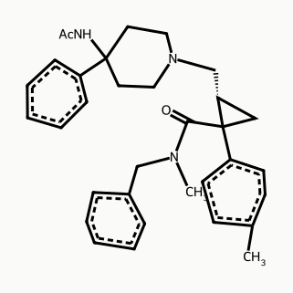 CC(=O)NC1(c2ccccc2)CCN(C[C@@H]2CC2(C(=O)N(C)Cc2ccccc2)c2ccc(C)cc2)CC1